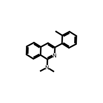 Cc1ccccc1-c1cc2ccccc2c(N(C)C)n1